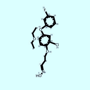 CCOCC.ON=CCCOc1ccc(Oc2cccc(F)c2)cc1Cl